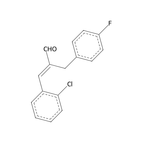 O=CC(=Cc1ccccc1Cl)Cc1ccc(F)cc1